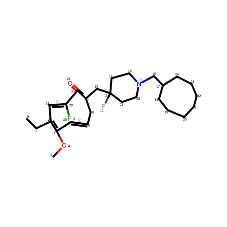 CCC1=C(OC)/C=C/CC(CC2(F)CCN(CC3CCCCCCC3)CC2)C(=O)\C(F)=C\1